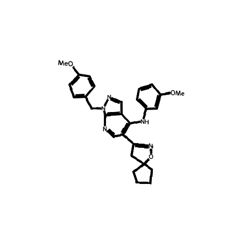 COc1ccc(Cn2ncc3c(Nc4cccc(OC)c4)c(C4=NOC5(CCCC5)C4)cnc32)cc1